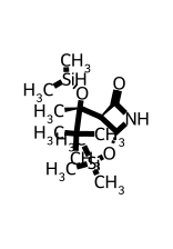 C[SiH](C)O[C@](C)([C@H]1C(=O)N[C@@H]1O[Si](C)(C)C)C(C)(C)C